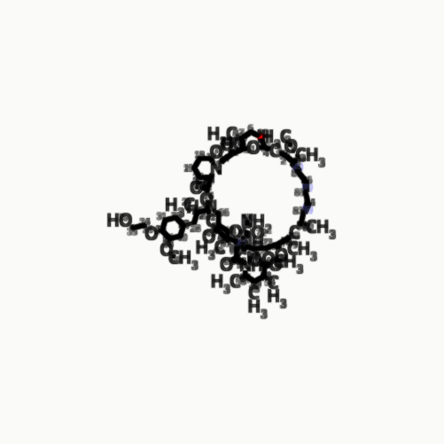 CO[C@H]1C[C@@H]2CC[C@@H](C)[C@@](O)(O2)C(=O)C(=O)N2CCCC[C@H]2C(=O)OC([C@H](C)C[C@@H]2CC[C@@H](OCCO)[C@H](OC)C2)CC(=O)[C@H](C)/C=C(\C)[C@@H](OC(=O)[C@@H](C)[C@H](C)[C@@H](C)NC(=O)[C@H](CCCCN)NS(N)(=O)=O)[C@@H](OC)C(=O)[C@H](C)C[C@H](C)/C=C/C=C/C=C/1C